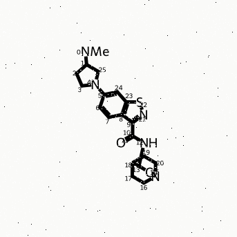 CNC1CCN(c2ccc3c(C(=O)NC4CN5CCC4CC5)nsc3c2)C1